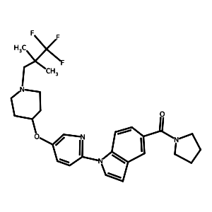 CC(C)(CN1CCC(Oc2ccc(-n3ccc4cc(C(=O)N5CCCC5)ccc43)nc2)CC1)C(F)(F)F